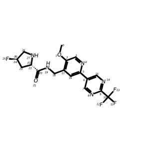 COc1cnc(-c2cnc(C(F)(F)F)nc2)cc1CNC(=O)[C@@H]1C[C@@H](F)CN1